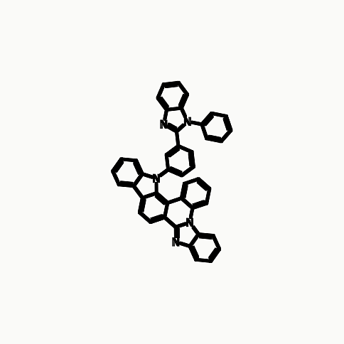 c1ccc(-n2c(-c3cccc(-n4c5ccccc5c5ccc6c(c7ccccc7n7c8ccccc8nc67)c54)c3)nc3ccccc32)cc1